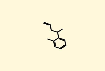 C=CC[C](C)c1ccccc1C